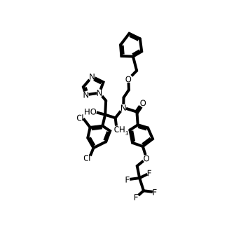 CC(N(CCOCc1ccccc1)C(=O)c1ccc(OCC(F)(F)C(F)F)cc1)C(O)(Cn1cncn1)c1ccc(Cl)cc1Cl